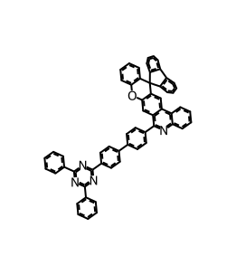 c1ccc(-c2nc(-c3ccccc3)nc(-c3ccc(-c4ccc(-c5nc6ccccc6c6cc7c(cc56)Oc5ccccc5C75c6ccccc6-c6ccccc65)cc4)cc3)n2)cc1